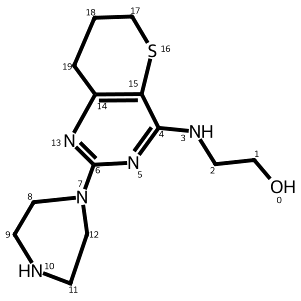 OCCNc1nc(N2CCNCC2)nc2c1SCCC2